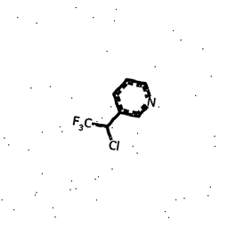 FC(F)(F)C(Cl)c1cccnc1